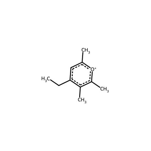 CCc1cc(C)[o+]c(C)c1C